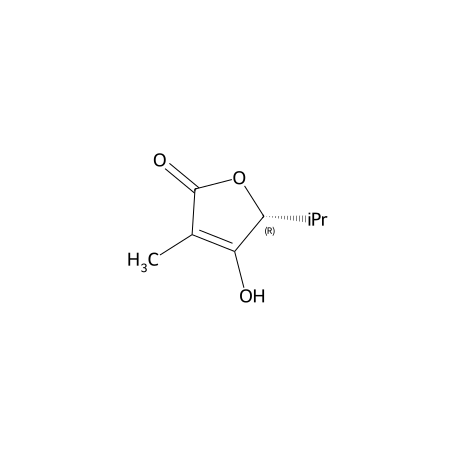 CC1=C(O)[C@@H](C(C)C)OC1=O